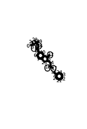 CC1(C)OB(c2ccc3c(c2)C(=O)C(CC(=O)OCc2ccccc2)C3)OC1(C)C